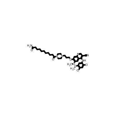 COc1cc(Nc2c(C#N)cnc3cc(OCCCN4CCN(C(=O)CCCCCCCCCC(N)=O)CC4)c(OC)cc23)c(Cl)cc1Cl